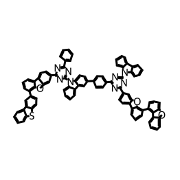 c1ccc(-c2nc(-c3ccc4c(c3)oc3c(-c5ccc6sc7ccccc7c6c5)cccc34)nc(-n3c4ccccc4c4cc(-c5ccc(-c6nc(-c7ccc8c(c7)oc7c(-c9cccc%10oc%11ccccc%11c9%10)cccc78)nc(-n7c8ccccc8c8ccccc87)n6)cc5)ccc43)n2)cc1